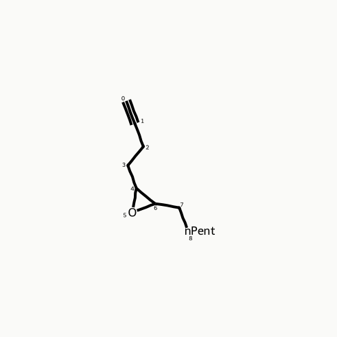 C#CCCC1OC1CCCCCC